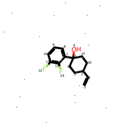 C=CC1CCC(O)(c2cccc(F)c2F)CC1